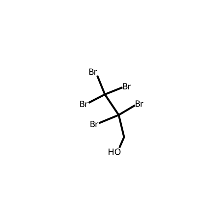 OCC(Br)(Br)C(Br)(Br)Br